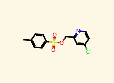 Cc1ccc(S(=O)(=O)OCc2cc(Cl)ccn2)cc1